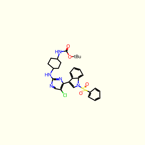 CC(C)(C)OC(=O)NC1CCC(Nc2ncc(Cl)c(-c3cn(S(=O)(=O)c4ccccc4)c4ccccc34)n2)CC1